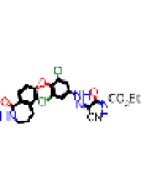 CCOC(=O)NC(=O)C(C#N)=NNc1cc(Cl)c(Oc2ccc3c(c2)CCCNC3=O)c(Cl)c1